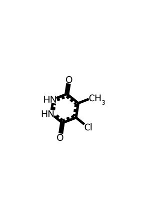 Cc1c(Cl)c(=O)[nH][nH]c1=O